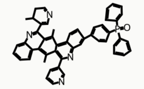 Cc1c2c(-c3cccnc3)nc3cc(-c4ccc(P(=O)(c5ccccc5)c5ccccc5)cc4)ccc3c2c(C)c2c(C3=CN=CCC3C)nc3ccccc3c12